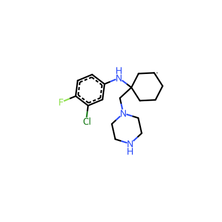 Fc1ccc(NC2(CN3CCNCC3)C[CH]CCC2)cc1Cl